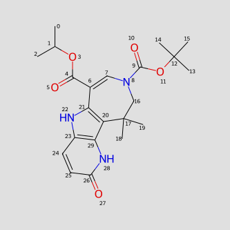 CC(C)OC(=O)C1=CN(C(=O)OC(C)(C)C)CC(C)(C)c2c1[nH]c1ccc(=O)[nH]c21